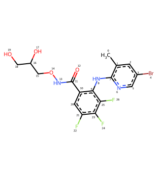 Cc1cc(Br)cnc1Nc1c(C(=O)NOCC(O)CO)cc(F)c(F)c1F